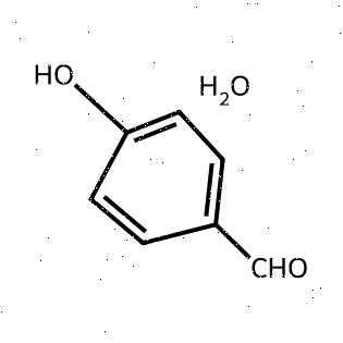 O.O=Cc1ccc(O)cc1